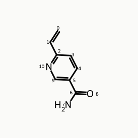 C=Cc1ccc(C(N)=O)cn1